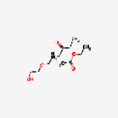 CCC(C)=O.CCOC(C)=O.CCOCCO